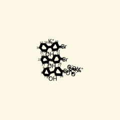 O=P([O-])([O-])[O-].Oc1ccccc1-c1ccc(Br)cc1.Oc1ccccc1-c1ccc(Br)cc1.Oc1ccccc1-c1ccc(Br)cc1.[K+].[K+].[K+]